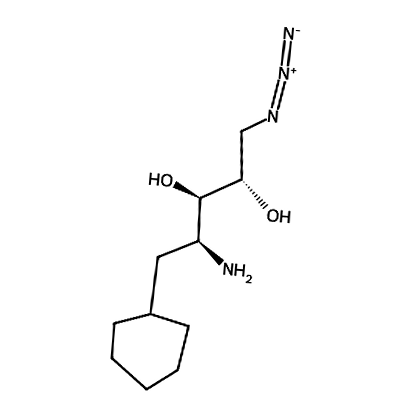 [N-]=[N+]=NC[C@H](O)[C@H](O)[C@@H](N)CC1CCCCC1